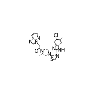 Cc1cc2[nH]c(-c3ncsc3N3CCN(C(=O)Cn4cnc5cccnc54)C(C)C3)nc2cc1Cl